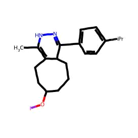 CC1=C2CCC(OI)CCCC2C(c2ccc(C(C)C)cc2)=NN1